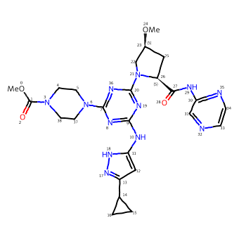 COC(=O)N1CCN(c2nc(Nc3cc(C4CC4)n[nH]3)nc(N3C[C@@H](OC)C[C@H]3C(=O)Nc3cnccn3)n2)CC1